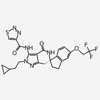 O=C(Nc1c2c(nn1CCC1CC1)C[C@]1(CCc3cc(OCC(F)(F)F)ccc31)NC2=O)c1csnn1